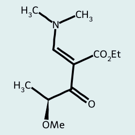 CCOC(=O)/C(=C\N(C)C)C(=O)[C@H](C)OC